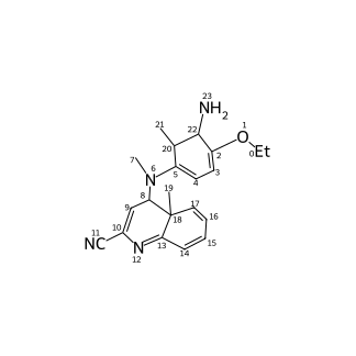 CCOC1=CC=C(N(C)C2C=C(C#N)N=C3C=CC=CC32C)C(C)C1N